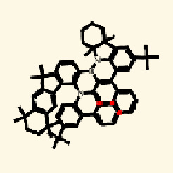 CC(C)(C)c1ccc(N2c3cc4ccccc4c4c3B(c3ccc5c(c32)-c2cc3c(cc2C5(C)C)C(C)(C)CCC3(C)C)N2c3c-4cc(C(C)(C)C)cc3C3(C)CCCCC23C)c(-c2ccccc2)c1